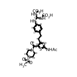 CC(=O)Nc1nc(CCc2ccc(NC(NC(=O)O)NC(=O)O)cc2)c(C(=O)N2CCN(S(C)(=O)=O)CC2)s1